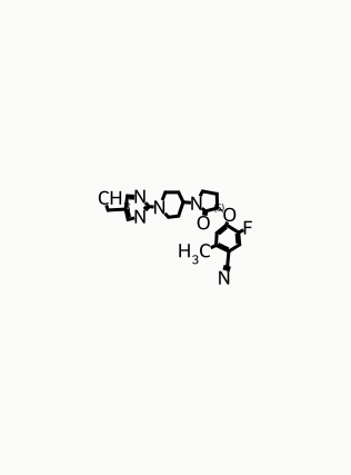 CCc1cnc(N2CCC(N3CC[C@H](Oc4cc(C)c(C#N)cc4F)C3=O)CC2)nc1